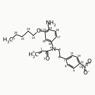 C=CC(=O)N(CCc1ccc([N+](=O)[O-])cc1)c1ccc(N)c(OCCCCC)c1